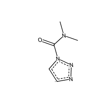 CN(C)C(=O)n1c[c]nn1